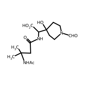 CC(=O)NC(C)(C)CC(=O)NC(C(=O)O)C1(O)CCN(C=O)CC1